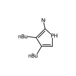 CCCCc1c[pH]c([N])c1CCCC